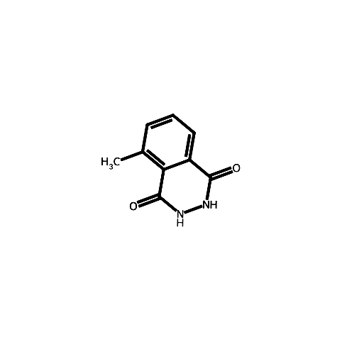 Cc1cccc2c(=O)[nH][nH]c(=O)c12